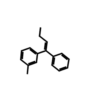 CCC=C(c1ccccc1)c1cccc(C)c1